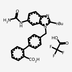 CCCCc1nc2ccc(NC(N)=O)cc2n1Cc1ccc(-c2ccccc2C(=O)O)cc1.O=C(O)C(F)(F)F